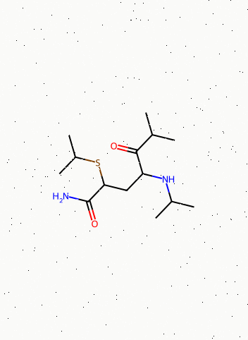 CC(C)NC(CC(SC(C)C)C(N)=O)C(=O)C(C)C